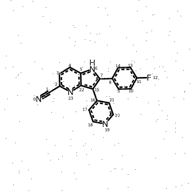 N#Cc1ccc2[nH]c(-c3ccc(F)cc3)c(-c3ccncc3)c2n1